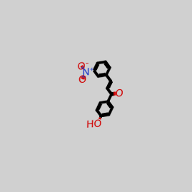 O=C(C=Cc1cccc([N+](=O)[O-])c1)c1ccc(O)cc1